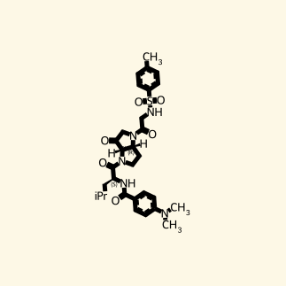 Cc1ccc(S(=O)(=O)NCC(=O)N2CC(=O)[C@@H]3[C@H]2CCN3C(=O)[C@H](CC(C)C)NC(=O)c2ccc(N(C)C)cc2)cc1